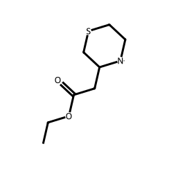 CCOC(=O)CC1CSCC[N]1